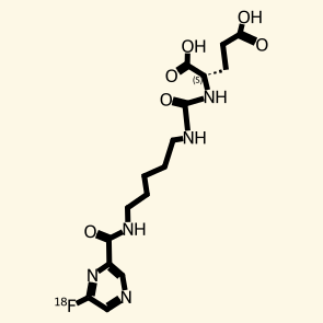 O=C(O)CC[C@H](NC(=O)NCCCCCNC(=O)c1cncc([18F])n1)C(=O)O